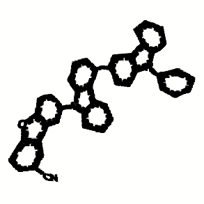 N#Cc1ccc2oc3ccc(-n4c5ccccc5c5c(-c6ccc7c(c6)c6ccccc6n7-c6ccccc6)cccc54)cc3c2c1